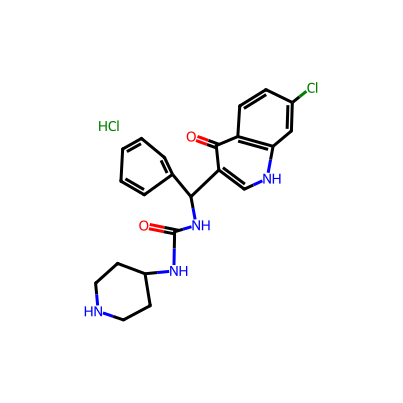 Cl.O=C(NC1CCNCC1)NC(c1ccccc1)c1c[nH]c2cc(Cl)ccc2c1=O